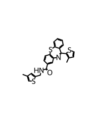 Cc1csc(CNC(=O)c2ccc3c(c2)N=C(c2sccc2C)c2ccccc2S3)c1